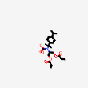 C=CC(=O)OCC(COC(=O)C=C)N(C(=O)O)C(C)(C)c1ccc(C(=C)C)cc1